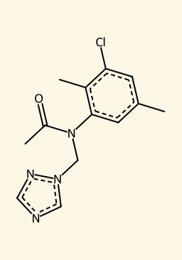 CC(=O)N(Cn1cncn1)c1cc(C)cc(Cl)c1C